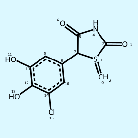 C=S1C(=O)NC(=O)C1c1cc(O)c(O)c(Cl)c1